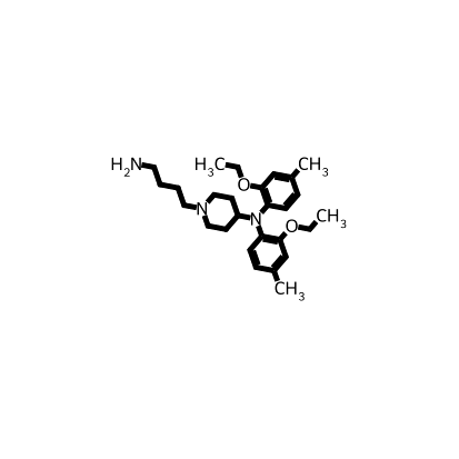 CCOc1cc(C)ccc1N(c1ccc(C)cc1OCC)C1CCN(CCCCN)CC1